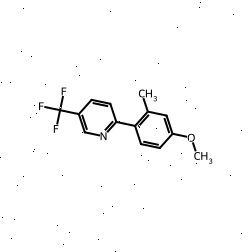 COc1ccc(-c2ccc(C(F)(F)F)cn2)c(C)c1